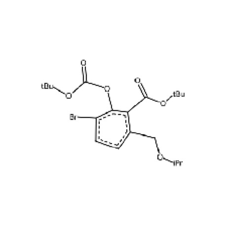 CC(C)OCc1ccc(Br)c(OC(=O)OC(C)(C)C)c1C(=O)OC(C)(C)C